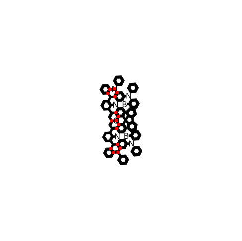 C1=CCC(C2=C(N3c4cc5c(cc4B4c6ccccc6N(c6ccccc6)c6cc(C(c7ccccc7)c7ccccc7)cc3c64)C3(c4cc6c(cc4O5)N(C4=C(C5C=CC=CC5)C=CCC4C4=CCCC=C4)c4cc(N(c5ccccc5)c5ccccc5)cc5c4B6c4ccccc4N5c4ccccc4)c4ccccc4-c4ccccc43)C(C3=CCCC=C3)CC=C2)C=C1